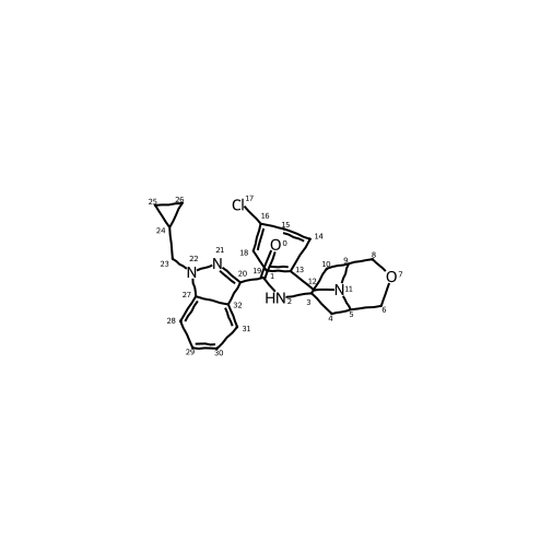 O=C(NC1CC2COCC(C1)N2Cc1ccc(Cl)cc1)c1nn(CC2CC2)c2ccccc12